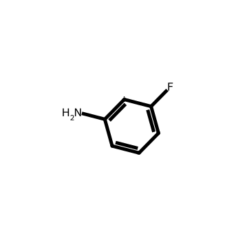 Nc1[c]c(F)ccc1